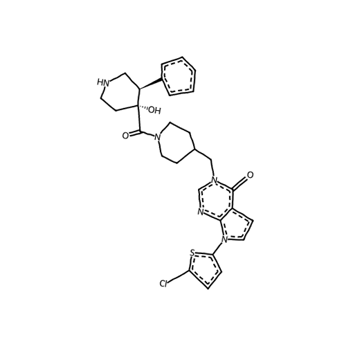 O=C(N1CCC(Cn2cnc3c(ccn3-c3ccc(Cl)s3)c2=O)CC1)[C@@]1(O)CCNC[C@H]1c1ccccc1